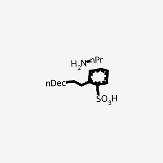 CCCCCCCCCCCCc1ccccc1S(=O)(=O)O.CCCN